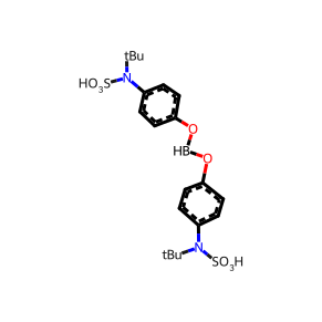 CC(C)(C)N(c1ccc(OBOc2ccc(N(C(C)(C)C)S(=O)(=O)O)cc2)cc1)S(=O)(=O)O